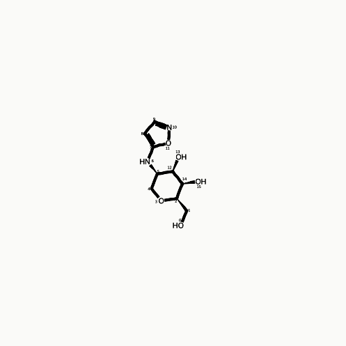 OC[C@H]1OC[C@@H](Nc2ccno2)[C@@H](O)[C@H]1O